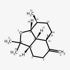 C=C1CC[C@H]2[C@@H]3[C@H](OC2(C)C)[C@@H](C)CC[C@H]13